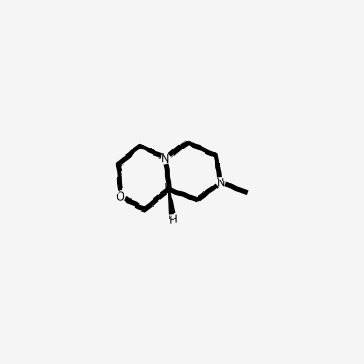 CN1CCN2CCOC[C@H]2C1